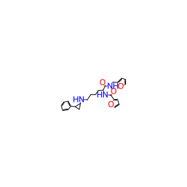 O=C(NC(CCCCNC1CC1c1ccccc1)C(=O)NCc1ccco1)c1ccco1